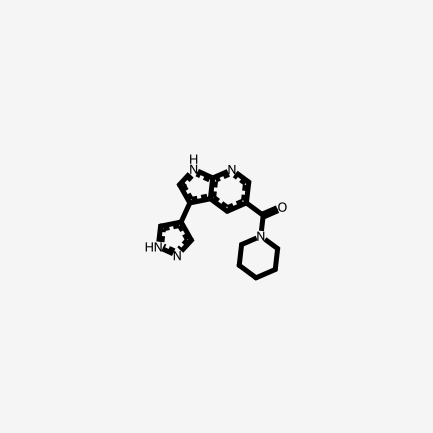 O=C(c1cnc2[nH]cc(-c3cn[nH]c3)c2c1)N1CCCCC1